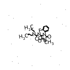 C=CCN(CC=C)C(/N=C1\C(=O)N(C)C(=O)N1c1ccccc1F)C(Cl)(Cl)Cl